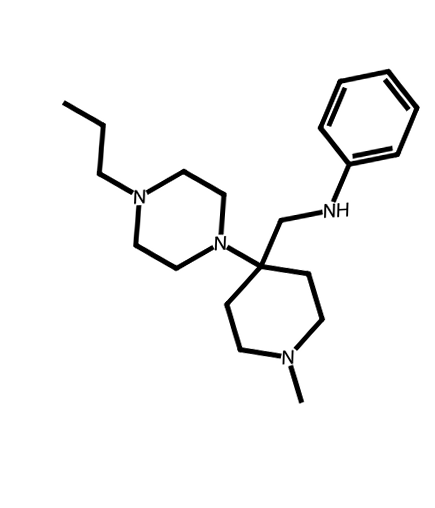 CCCN1CCN(C2(CNc3ccccc3)CCN(C)CC2)CC1